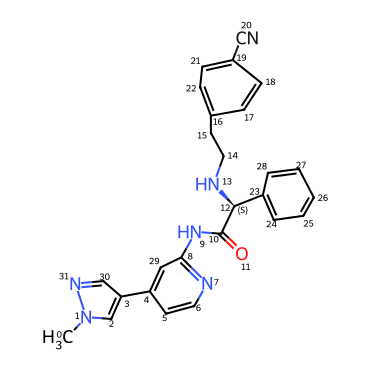 Cn1cc(-c2ccnc(NC(=O)[C@@H](NCCc3ccc(C#N)cc3)c3ccccc3)c2)cn1